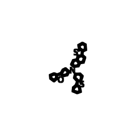 c1ccc2c(c1)oc1cc(N(c3ccc4c(ccc5c6ccccc6sc45)c3)c3ccc4sc5ccccc5c4c3)ccc12